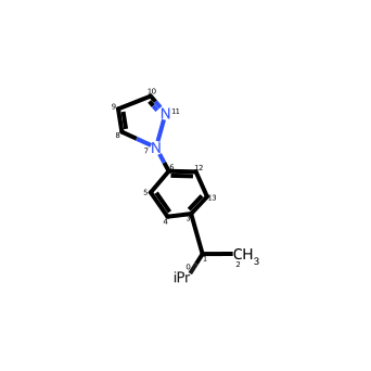 CC(C)C(C)c1ccc(-n2cccn2)cc1